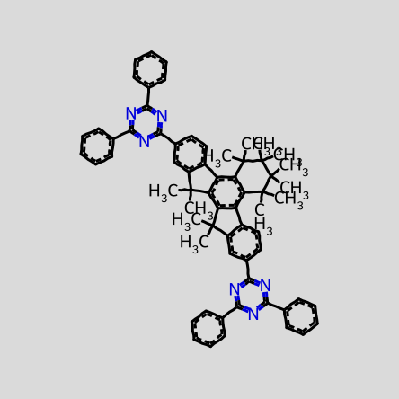 CC1(C)c2cc(-c3nc(-c4ccccc4)nc(-c4ccccc4)n3)ccc2-c2c1c1c(c3c2C(C)(C)C(C)(C)C(C)(C)C3(C)C)-c2ccc(-c3nc(-c4ccccc4)nc(-c4ccccc4)n3)cc2C1(C)C